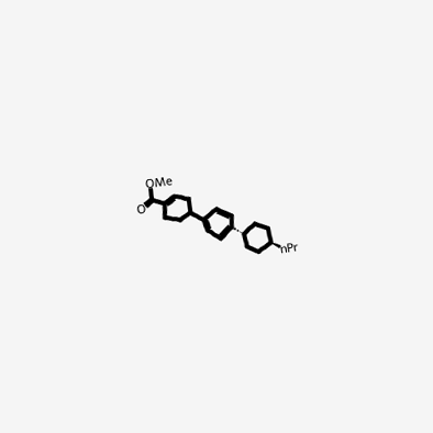 CCC[C@H]1CC[C@H](c2ccc(C3CC=C(C(=O)OC)CC3)cc2)CC1